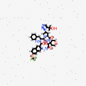 CC(C)(O)c1cnnn1[C@H]1C[C@@H](C(=O)NC2(C(=O)C(N)=O)CCOCC2)N(C(=O)C(CC2CCCCC2)NC(=O)c2ccc3cc(OC(F)(F)F)ccc3c2)C1